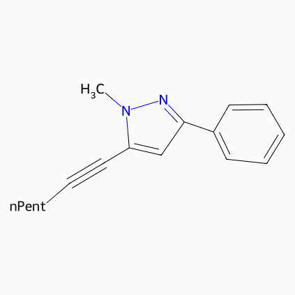 CCCCCC#Cc1cc(-c2ccccc2)nn1C